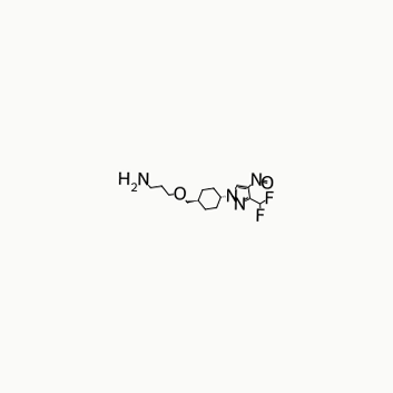 NCCCOC[C@H]1CC[C@H](n2cc(N=O)c(C(F)F)n2)CC1